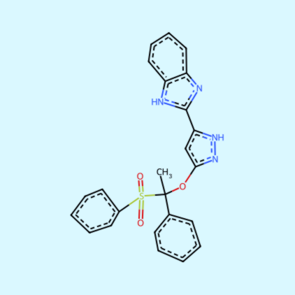 CC(Oc1cc(-c2nc3ccccc3[nH]2)[nH]n1)(c1ccccc1)S(=O)(=O)c1ccccc1